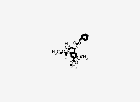 CCOC(=O)N1c2cc(C(=O)OC)c(OC)cc2[C@H](NC(=O)OCc2ccccc2)C[C@@H]1C